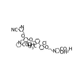 Cc1c(COc2cc(OCc3cncc(C#N)c3)c(CN3CCCCC3C(=O)O)cc2Cl)cccc1-c1cccc(OCCCN2CCC(O)(C(=O)O)CC2)c1Cl